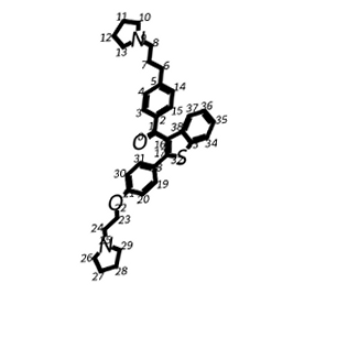 O=C(c1ccc(CCCN2CCCC2)cc1)c1c(-c2ccc(OCCN3CCCC3)cc2)sc2ccccc12